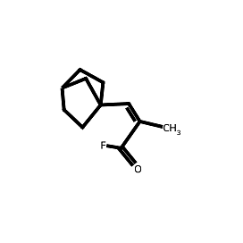 CC(=CC12CCC(CC1)C2)C(=O)F